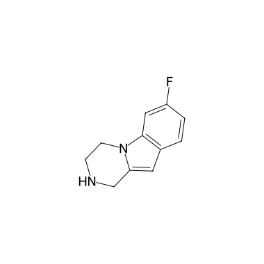 Fc1ccc2cc3n(c2c1)CCNC3